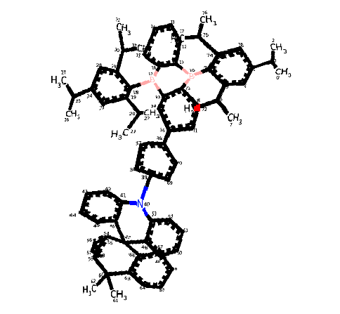 CC(C)c1cc(C(C)C)c(B2c3ccccc3B(c3c(C(C)C)cc(C(C)C)cc3C(C)C)c3cc(-c4ccc(N5c6ccccc6C6(c7ccccc75)c5ccccc5C(C)(C)c5ccccc56)cc4)ccc32)c(C(C)C)c1